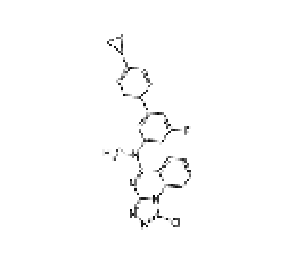 CN(c1cc(F)cc(-c2ccc(C3CC3)cc2)c1)c1nc2nnc(Cl)n2c2ccccc12